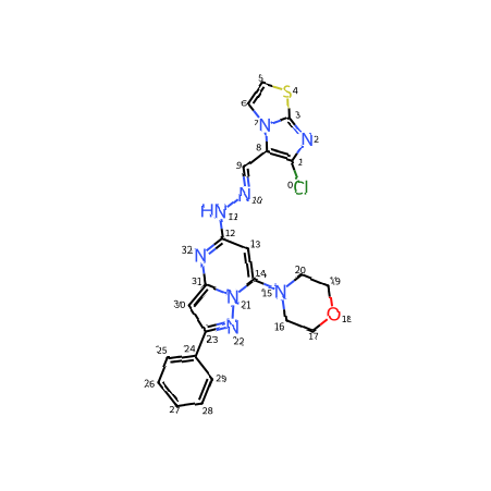 Clc1nc2sccn2c1C=NNc1cc(N2CCOCC2)n2nc(-c3ccccc3)cc2n1